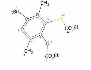 CCOC(=O)Oc1c(C)cc(C(C)(C)C)c(C)c1SC(=O)OCC